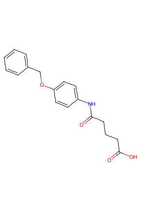 O=C(O)CCCC(=O)Nc1ccc(OCc2ccccc2)cc1